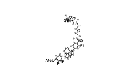 CCc1cc(Nc2nccn3c(-c4ccc(OC)c(F)c4F)cnc23)ccc1C(=O)NCCOCCN(C)CC(=O)NS(C)(=O)=O